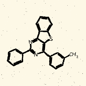 Cc1cccc(-c2nc(-c3ccccc3)nc3c2sc2ccccc23)c1